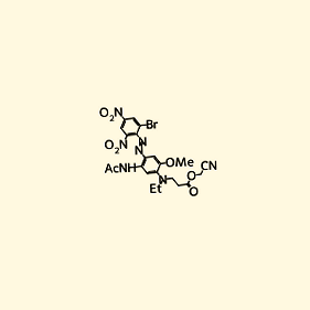 CCN(CCC(=O)OCC#N)c1cc(NC(C)=O)c(N=Nc2c(Br)cc([N+](=O)[O-])cc2[N+](=O)[O-])cc1OC